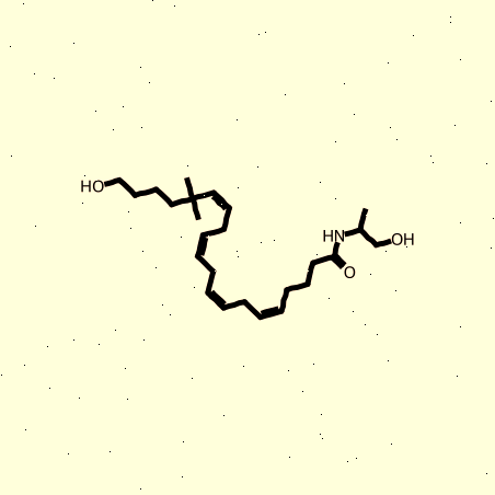 CC(CO)NC(=O)CCC/C=C\C/C=C\C/C=C\C/C=C\C(C)(C)CCCCO